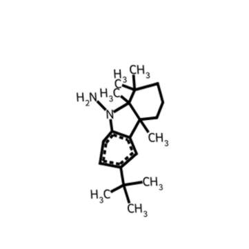 CC(C)(C)c1ccc2c(c1)C1(C)CCCC(C)(C)C1(C)N2N